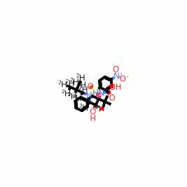 [2H]C(N(C([2H])([2H])C([2H])(C([2H])([2H])[2H])C([2H])([2H])[2H])S(=O)(=O)c1ccc([N+](=O)[O-])cc1)[C@@]([2H])(O)C(Cc1ccccc1)(NC(=O)O)C(C)(C)C